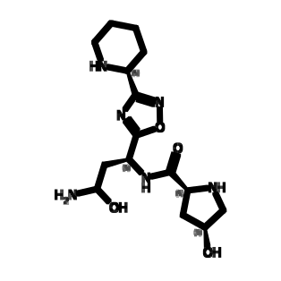 NC(O)C[C@H](NC(=O)[C@@H]1C[C@H](O)CN1)c1nc([C@@H]2CCCCN2)no1